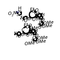 CC[C@H]1CCC[C@H](O[C@H]2CC[C@H](N(C)C)[C@@H](C)O2)[C@@H](C)C(=O)C2=C[C@@H]3[C@@H](C=C(C)[C@@H]4C[C@@H](O[C@@H]5O[C@@H](C)[C@H](OC)[C@@H](OC)[C@H]5OC)C[C@@H]34)[C@@H]2CC(=O)O1.CC[C@H]1CCC[C@H](O[C@H]2CC[C@H](N(C)C)[C@@H](C)O2)[C@@H](C)C(=O)C2=C[C@@H]3[C@@H](C=C[C@@H]4C[C@@H](O[C@@H]5O[C@@H](C)[C@H](OC)[C@@H](OC)[C@H]5OC)C[C@@H]34)[C@@H]2CC(=O)O1.O=[N+]([O-])/C=C1/NCCCS1